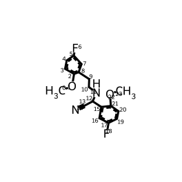 COc1ccc(F)cc1CCNC(C#N)c1cc(F)ccc1OC